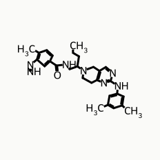 CCCC(CNC(=O)c1ccc(C)c(N=N)c1)N1CCc2nc(Nc3cc(C)cc(C)c3)ncc2C1